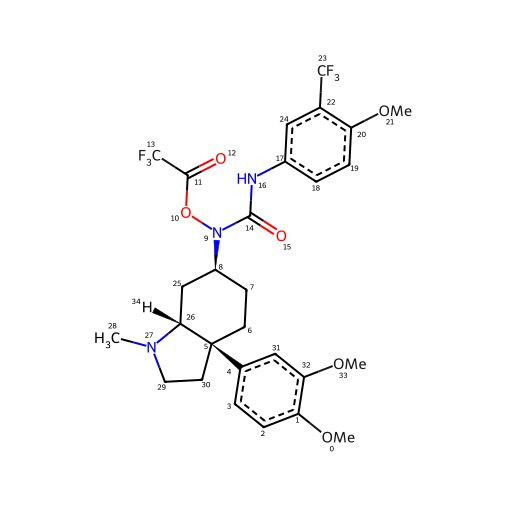 COc1ccc([C@]23CC[C@H](N(OC(=O)C(F)(F)F)C(=O)Nc4ccc(OC)c(C(F)(F)F)c4)C[C@H]2N(C)CC3)cc1OC